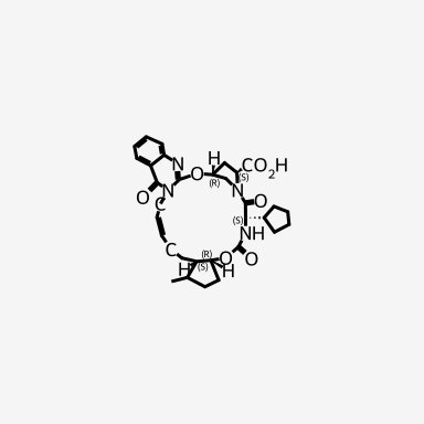 CC1CC[C@H]2OC(=O)N[C@@H](C3CCCC3)C(=O)N3C[C@@H](C[C@H]3C(=O)O)Oc3nc4ccccc4c(=O)n3CC=CCC[C@@H]12